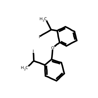 CC(I)c1ccccc1Oc1ccccc1C(C)I